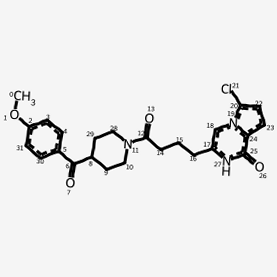 COc1ccc(C(=O)C2CCN(C(=O)CCCc3cn4c(Cl)ccc4c(=O)[nH]3)CC2)cc1